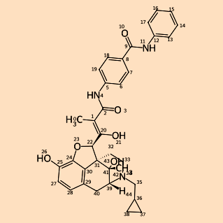 C/C(C(=O)Nc1ccc(C(=O)Nc2ccccc2)cc1)=C(/O)[C@@H]1Oc2c(O)ccc3c2[C@@]12CCN(CC1CC1)[C@H](C3)[C@@]2(C)O